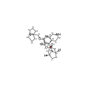 CC(C)(C)OC(=O)N1[C@@H]2CC[C@H]1CN(c1nc(OCC34CCCN3CCC4)nc3c1CCNC3)C2